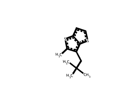 Cc1sc2ccsc2c1CC(C)(C)C